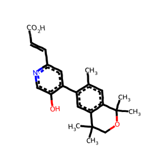 Cc1cc2c(cc1-c1cc(/C=C/C(=O)O)ncc1O)C(C)(C)COC2(C)C